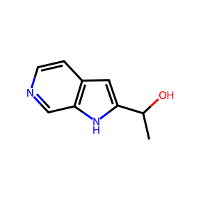 CC(O)c1cc2ccncc2[nH]1